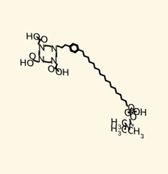 C[N+](C)(C)CCOP(=O)(O)OCCCCCCCCCCCCCCCCCCc1ccc(CCCN2CCN(CC(=O)O)CCN(CC(=O)O)CCN(CC(=O)O)CC2)cc1